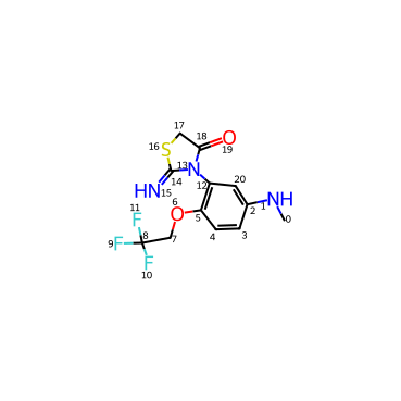 CNc1ccc(OCC(F)(F)F)c(N2C(=N)SCC2=O)c1